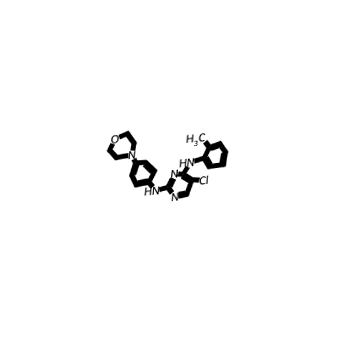 Cc1ccccc1Nc1nc(Nc2ccc(N3CCOCC3)cc2)ncc1Cl